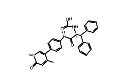 Cc1cc(=O)n(C)cc1-c1ccc(NC(=O)[C@@H](NC(=O)O)C(c2ccccc2)c2ccccc2)cc1